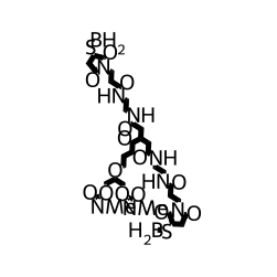 BSC1CC(=O)N(CCC(=O)NCCNC(=O)CC(CC(=O)NCCNC(=O)CCN2C(=O)CC(SB)C2=O)C(=O)CCCOC(COC(=O)NC)COC(=O)NC)C1=O